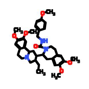 CCC1CN2CCc3cc(OC)c(OC)cc3C2CC1C1Cc2cc(OC)c(OC)cc2CCN1C(=O)NCc1ccc(OC)cc1